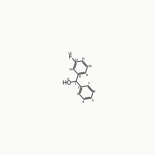 OC(c1ccccc1)c1cccc(F)c1